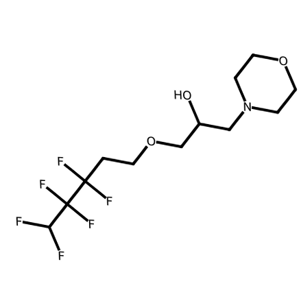 OC(COCCC(F)(F)C(F)(F)C(F)F)CN1CCOCC1